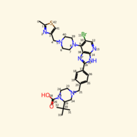 Cc1nc(CN2CCN(c3c(Br)cnc4[nH]c(-c5ccc(CN6CCN(C(=O)O)C(C(C)(C)C)C6)cc5)nc34)CC2)cs1